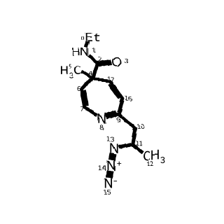 CCNC(=O)C1(C)C=CN=C(CC(C)N=[N+]=[N-])C=C1